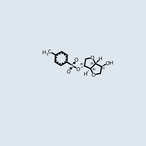 Cc1ccc(S(=O)(=O)O[C@@H]2CO[C@H]3[C@H]2OC[C@@H]3O)cc1